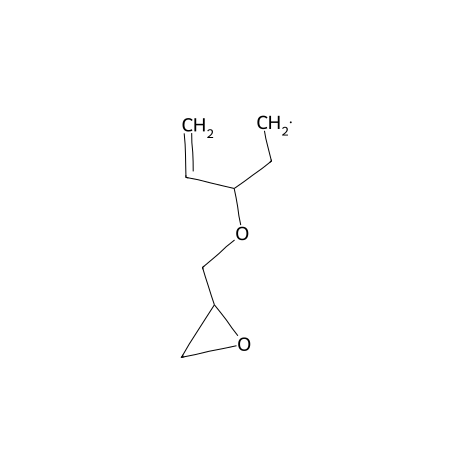 [CH2]CC(C=C)OCC1CO1